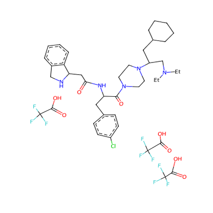 CCN(CC)CC(CC1CCCCC1)N1CCN(C(=O)C(Cc2ccc(Cl)cc2)NC(=O)CC2NCc3ccccc32)CC1.O=C(O)C(F)(F)F.O=C(O)C(F)(F)F.O=C(O)C(F)(F)F